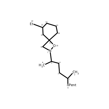 CCCCCC(C)CCC(C)N1CC2(CCCC(CC)C2)O1